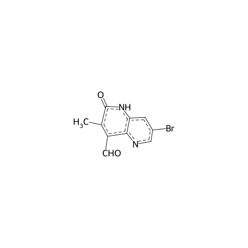 Cc1c(C=O)c2ncc(Br)cc2[nH]c1=O